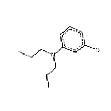 CCCN(CCC)c1cccc([O])c1